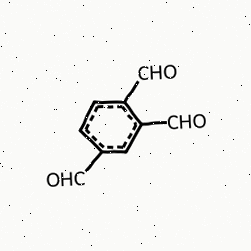 O=Cc1ccc(C=O)c(C=O)c1